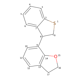 [C]1Sc2ccccc2C1c1cccc2c1OCC2